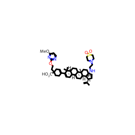 C=C(C)[C@@H]1CC[C@]2(NCCN3CCS(=O)(=O)CC3)CC[C@]3(C)[C@H](CC[C@@H]4[C@@]5(C)CC=C(C6=CCC(CCOc7nccc(OC)n7)(C(=O)O)CC6)C(C)(C)[C@@H]5CC[C@]43C)[C@@H]12